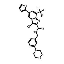 O=C(NCc1cccc(N2CCOCC2)c1)c1nc2c(C(F)(F)F)cc(-c3ccco3)cn2c1Cl